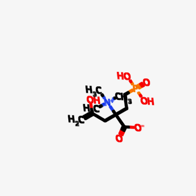 C=C(O)CC(CCP(=O)(O)O)(C(=O)[O-])[N+](C)(C)C